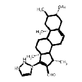 CC(=O)O[C@@H]1CC2=CCC3C(CC[C@]4(C)C(N5C=CNN5)=C(C=O)[C@@H](C)C34)[C@@]2(C)CC1C